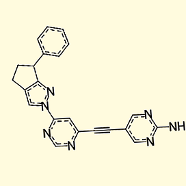 Nc1ncc(C#Cc2cc(-n3cc4c(n3)C(c3ccccc3)CC4)ncn2)cn1